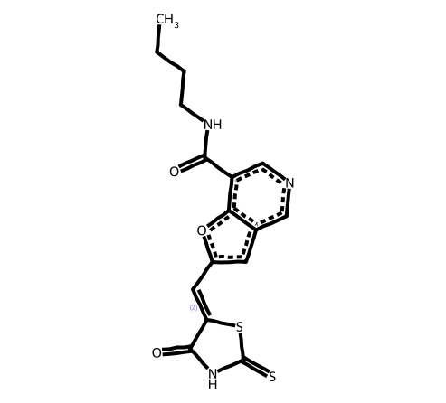 CCCCNC(=O)c1cncc2cc(/C=C3\SC(=S)NC3=O)oc12